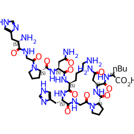 CCCC[C@H](NC(=O)[C@H](CC(N)=O)NC(=O)[C@@H]1CCCN1C(=O)CNC(=O)[C@H](Cc1c[nH]cn1)NC(=O)[C@H](CCCCN)NC(=O)[C@H](CC(N)=O)NC(=O)[C@@H]1CCCN1C(=O)CNC(=O)[C@@H](N)Cc1c[nH]cn1)C(=O)O